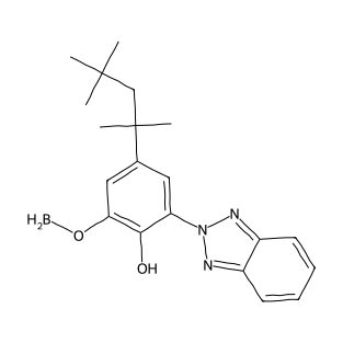 BOc1cc(C(C)(C)CC(C)(C)C)cc(-n2nc3ccccc3n2)c1O